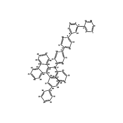 c1ccc(-c2cccc(-c3ccc(-c4ccc(N(c5ccccc5)c5c(-c6cccc(-c7ccccc7)c6)c6ccccc6c6ccccc56)cc4)cc3)c2)cc1